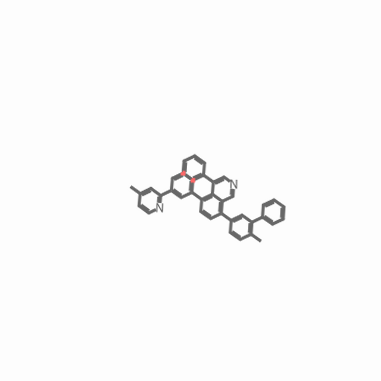 Cc1ccnc(-c2cccc(-c3ccc(-c4ccc(C)c(-c5ccccc5)c4)c4cncc(-c5ccccc5)c34)c2)c1